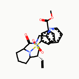 C=C[C@H]1CN(Cc2ccccn2)C(=O)C2CCCC1N2S(=O)(=O)c1cccc(C(=O)OC)c1